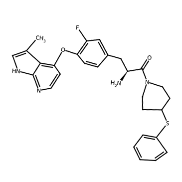 Cc1c[nH]c2nccc(Oc3ccc(C[C@H](N)C(=O)N4CCC(Sc5ccccc5)CC4)cc3F)c12